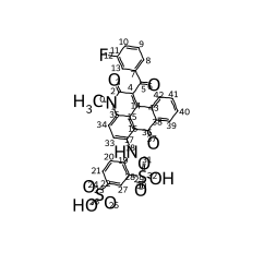 Cn1c(=O)c(C(=O)c2cccc(F)c2)c2c3c(c(Nc4ccc(S(=O)(=O)O)cc4S(=O)(=O)O)ccc31)C(=O)c1ccccc1-2